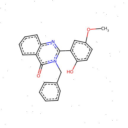 COc1ccc(O)c(-c2nc3ccccc3c(=O)n2Cc2ccccc2)c1